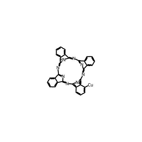 [Cu][c]1cccc2c3nc4nc(nc5[nH]c(nc6nc(nc([nH]3)c12)-c1ccccc1-6)c1ccccc51)-c1ccccc1-4